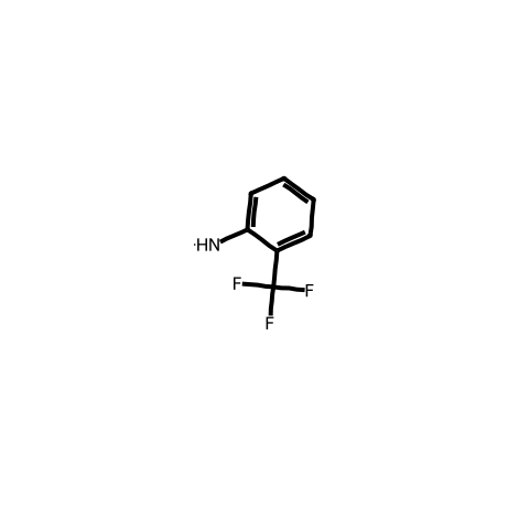 [NH]c1ccccc1C(F)(F)F